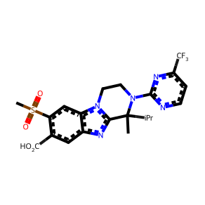 CC(C)C1(C)c2nc3cc(C(=O)O)c(S(C)(=O)=O)cc3n2CCN1c1nccc(C(F)(F)F)n1